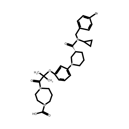 CC(C)(Oc1cccc(N2CCC[C@@H](C(=O)N(Cc3ccc(Br)cc3)C3CC3)C2)c1)C(=O)N1CCCN(C(=O)O)CC1